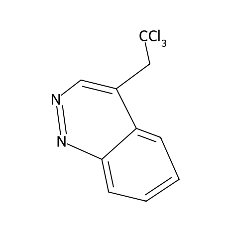 ClC(Cl)(Cl)Cc1cnnc2ccccc12